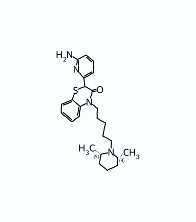 C[C@@H]1CCC[C@H](C)N1CCCCCN1C(=O)C(c2cccc(N)n2)Sc2ccccc21